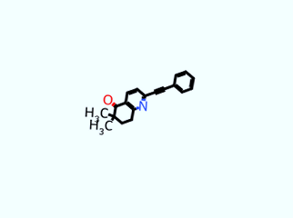 CC1(C)CCc2nc(C#Cc3ccccc3)ccc2C1=O